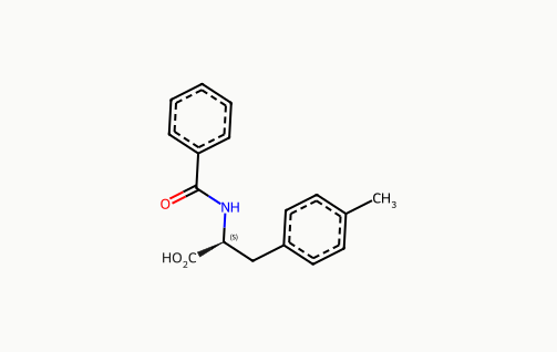 Cc1ccc(C[C@H](NC(=O)c2ccccc2)C(=O)O)cc1